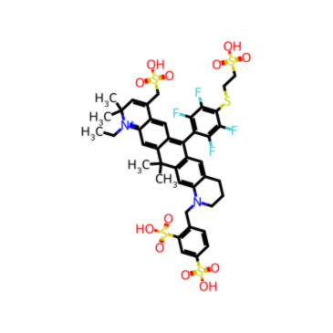 CC[N+]1=c2cc3c(cc2C(CS(=O)(=O)O)=CC1(C)C)=C(c1c(F)c(F)c(SCCS(=O)(=O)O)c(F)c1F)c1cc2c(cc1C3(C)C)N(Cc1ccc(S(=O)(=O)O)cc1S(=O)(=O)O)CCC2